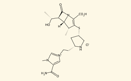 C[C@@H](O)[C@H]1C(=O)N2C(C(=O)O)=C(S[C@@H]3CN[C@H](CC[n+]4cc(C(N)=O)n(C)c4)C3)[C@H](C)[C@H]12.[Cl-]